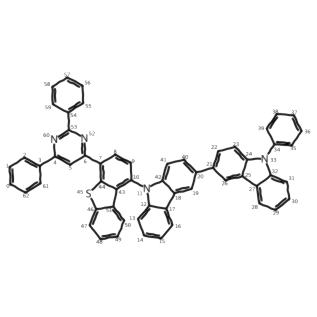 c1ccc(-c2cc(-c3ccc(-n4c5ccccc5c5cc(-c6ccc7c(c6)c6ccccc6n7-c6ccccc6)ccc54)c4c3sc3ccccc34)nc(-c3ccccc3)n2)cc1